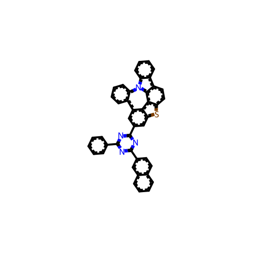 c1ccc(-c2nc(-c3ccc4ccccc4c3)nc(-c3cc4sc5ccc6c7ccccc7n7c8ccccc8c(c3)c4c5c67)n2)cc1